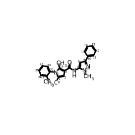 Cc1cc(C(=O)Nc2cc(-c3ccccc3)nn2C)c(C)n1-c1ccccc1C(F)(F)F